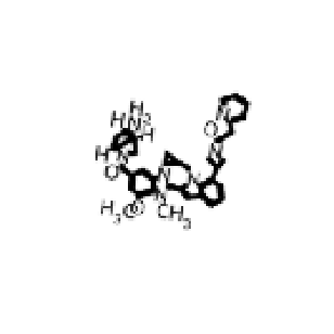 COc1cc(C(=O)N2C[C@H]3CC[C@@H]2C[C@@H]3N)cc2nc(-c3cc4cccc(C5CN(C(=O)Cc6ccccn6)C5)c4n3CC3CC3)n(C)c12